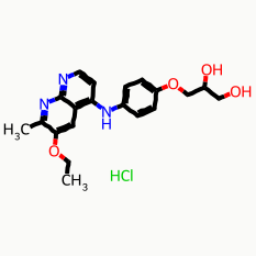 CCOc1cc2c(Nc3ccc(OCC(O)CO)cc3)ccnc2nc1C.Cl